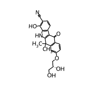 CC1(C)c2cc(OC[C@H](O)CO)ccc2C(=O)c2c1[nH]c1c(O)c(C#N)ccc21